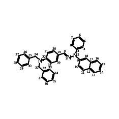 C(=NN(c1ccccc1)c1ccc2ccccc2c1)c1ccc(N(Cc2ccccc2)Cc2ccccc2)cc1